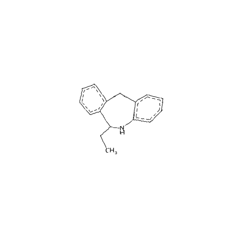 CCC1Nc2ccccc2Cc2ccccc21